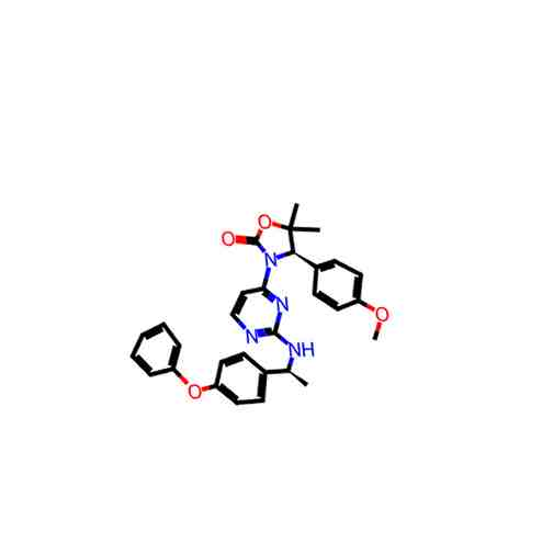 COc1ccc([C@H]2N(c3ccnc(N[C@@H](C)c4ccc(Oc5ccccc5)cc4)n3)C(=O)OC2(C)C)cc1